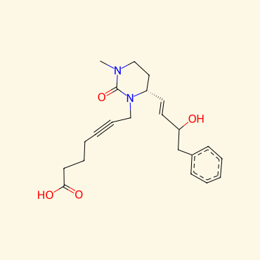 CN1CC[C@H](/C=C/C(O)Cc2ccccc2)N(CC#CCCCC(=O)O)C1=O